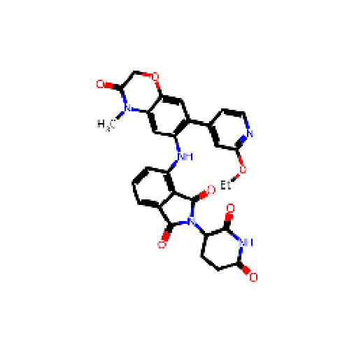 CCOc1cc(-c2cc3c(cc2Nc2cccc4c2C(=O)N(C2CCC(=O)NC2=O)C4=O)N(C)C(=O)CO3)ccn1